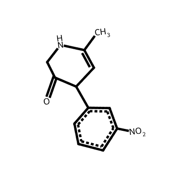 CC1=CC(c2cccc([N+](=O)[O-])c2)C(=O)CN1